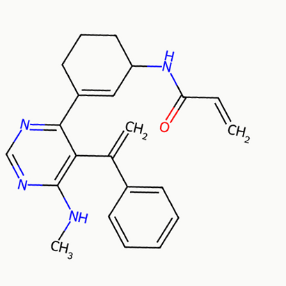 C=CC(=O)NC1C=C(c2ncnc(NC)c2C(=C)c2ccccc2)CCC1